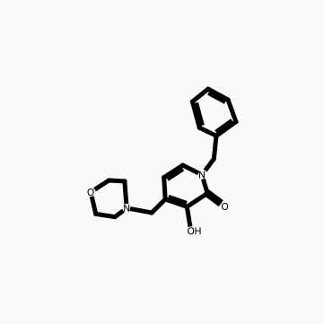 O=c1c(O)c(CN2CCOCC2)ccn1Cc1ccccc1